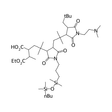 CCCC[Si](C)(C)O[Si](C)(C)CCCN1C(=O)C(CC(C)(C)C2C(=O)N(CCN(C)C)C(=O)C2CC(C)(C)C)C(C(C)(C)CC(C(=O)O)C(C)C(=O)OCC)C1=O